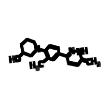 C=C1C=CC(c2ccc(N3CCCC(O)C3)c(C)c2)=NN1